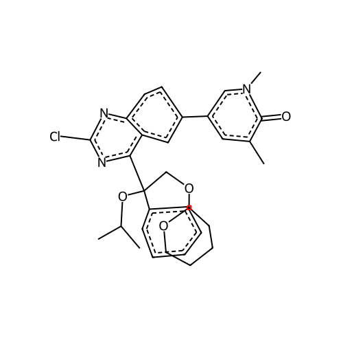 Cc1cc(-c2ccc3nc(Cl)nc(C(COC4CCCCO4)(OC(C)C)c4ccccc4)c3c2)cn(C)c1=O